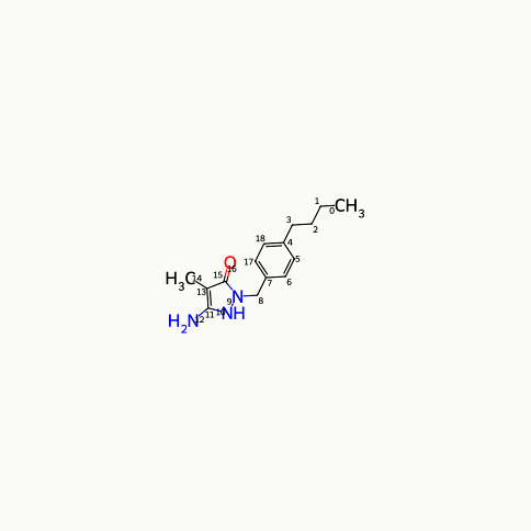 CCCCc1ccc(Cn2[nH]c(N)c(C)c2=O)cc1